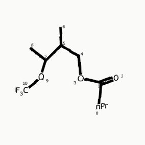 CCCC(=O)OCC(C)C(C)OC(F)(F)F